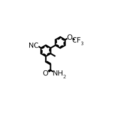 Cc1c(/C=C/C(N)=O)cc(C#N)cc1-c1ccc(OC(F)(F)F)cc1